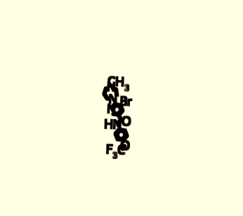 CN1CCCN(c2ncc(C(=O)Nc3ccc(OC(F)(F)F)cc3)cc2Br)CC1